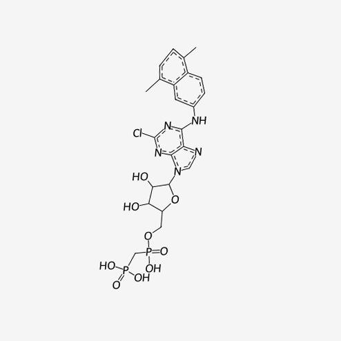 Cc1ccc(C)c2cc(Nc3nc(Cl)nc4c3ncn4C3OC(COP(=O)(O)CP(=O)(O)O)C(O)C3O)ccc12